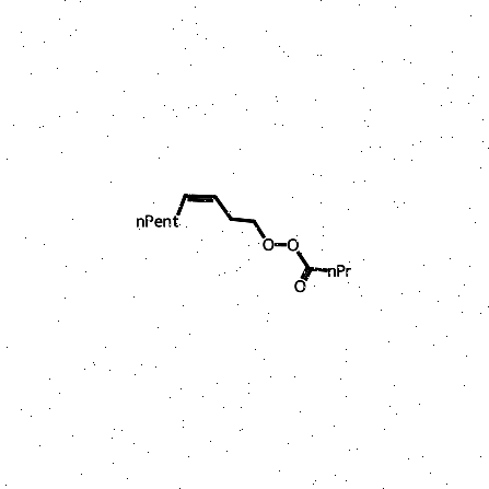 CCCCC/C=C\CCOOC(=O)CCC